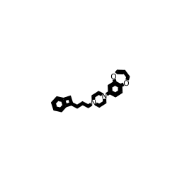 C1=COc2cc(N3CCN(CCCC4Cc5ccccc54)CC3)ccc2OC1